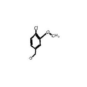 COc1cc(C[O])ccc1Cl